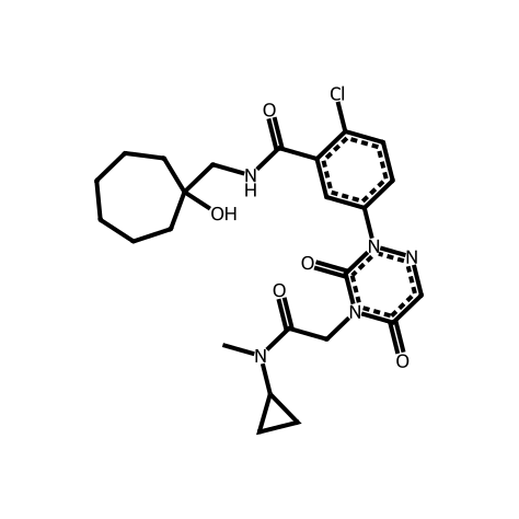 CN(C(=O)Cn1c(=O)cnn(-c2ccc(Cl)c(C(=O)NCC3(O)CCCCCC3)c2)c1=O)C1CC1